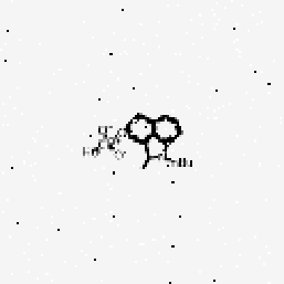 CCCCN1c2cccc3cccc(c23)C1C.[O-][Cl+3]([O-])([O-])O